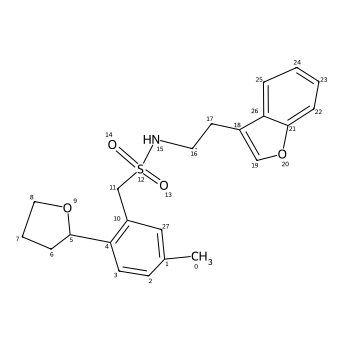 Cc1ccc(C2CCCO2)c(CS(=O)(=O)N[CH]Cc2coc3ccccc23)c1